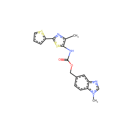 Cc1nc(-c2cccs2)sc1NC(=O)OCc1ccc2c(c1)ncn2C